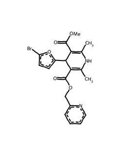 COC(=O)C1=C(C)NC(C)=C(C(=O)OCc2ccccn2)C1c1ccc(Br)o1